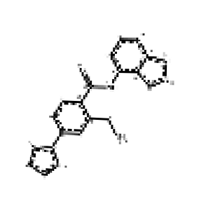 NCc1cc(-c2nccs2)ccc1C(=O)Nc1ccnc2[nH]ncc12